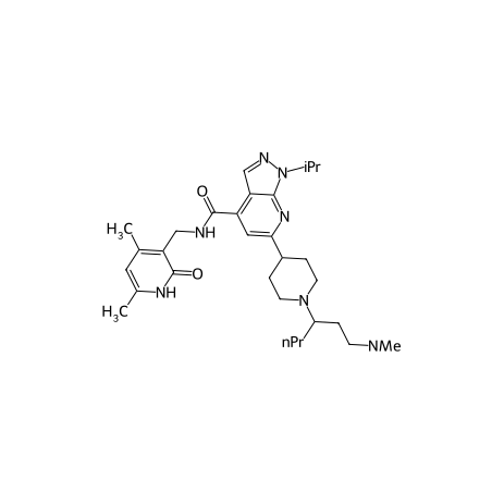 CCCC(CCNC)N1CCC(c2cc(C(=O)NCc3c(C)cc(C)[nH]c3=O)c3cnn(C(C)C)c3n2)CC1